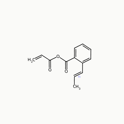 C=CC(=O)OC(=O)c1ccccc1/C=C/C